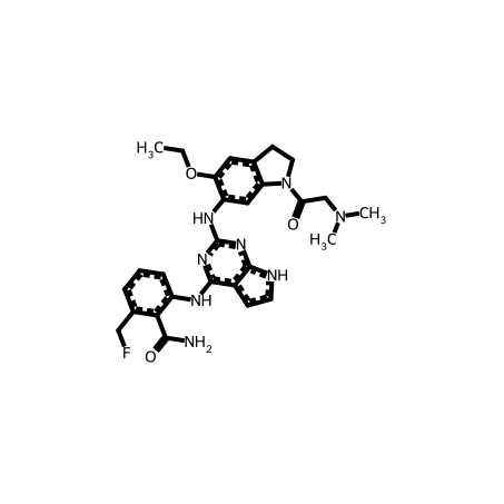 CCOc1cc2c(cc1Nc1nc(Nc3cccc(CF)c3C(N)=O)c3cc[nH]c3n1)N(C(=O)CN(C)C)CC2